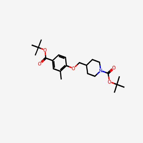 Cc1cc(C(=O)OC(C)(C)C)ccc1OCC1CCN(C(=O)OC(C)(C)C)CC1